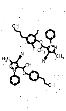 Cc1nn(-c2ccccc2)c(C(C)Oc2c(F)cc(CCCO)cc2F)c1C#N.Cc1nn(-c2ccccc2)c(C(C)Oc2ccc(CCO)cc2)c1C#N